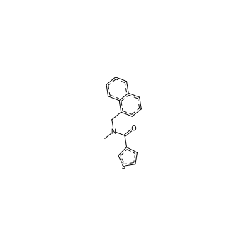 CN(Cc1cccc2ccccc12)C(=O)c1ccsc1